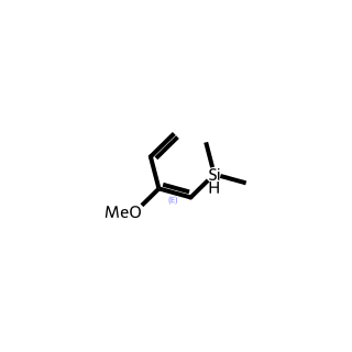 C=C/C(=C\[SiH](C)C)OC